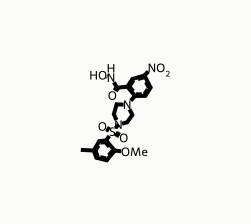 COc1ccc(C)cc1S(=O)(=O)N1CCN(c2ccc([N+](=O)[O-])cc2C(=O)NO)CC1